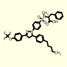 CCCCCc1ccc(C2CC(c3ccc(OC(F)(F)F)cc3)=NN2c2ccc(S(=O)(=O)N(C)C(Cc3ccccc3)C(=O)O)cc2)cc1